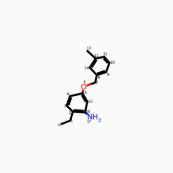 CCc1ccc(OCc2cccc(C)c2)cc1N